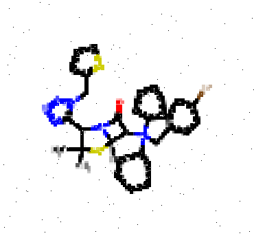 CC1(C)S[C@H]2C([N+](Cc3ccc(Br)cc3)(c3ccccc3)c3ccccc3)C(=O)N2C1c1nnnn1Cc1cccs1